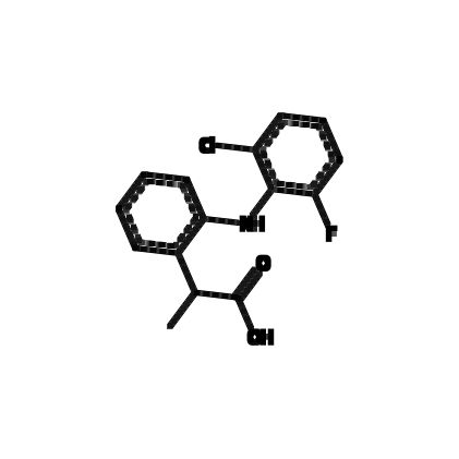 CC(C(=O)O)c1ccccc1Nc1c(F)cccc1Cl